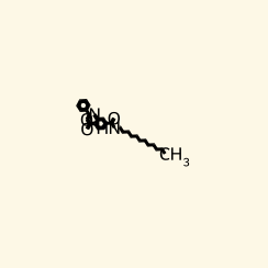 CCCCCCCCCCCCNC(=O)c1ccc2c(=O)oc(-c3ccccc3)nc2c1